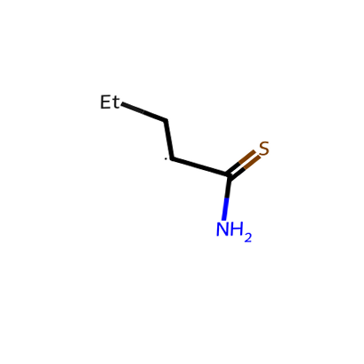 CCC[CH]C(N)=S